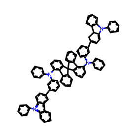 C1=C(c2cccc(N(c3ccccc3)c3cccc4c3-c3ccccc3C43c4ccccc4-c4c(N(c5ccccc5)c5cccc(-c6ccc7c(c6)c6ccccc6n7-c6ccccc6)c5)cccc43)c2)CC2C(=C1)N(c1ccccc1)c1ccccc12